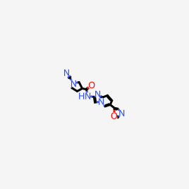 N#CN1CCC(C(=O)Nc2cn3cc(-c4cnco4)ccc3n2)C1